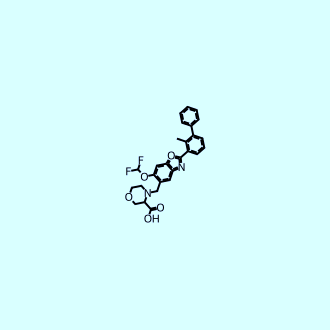 Cc1c(-c2ccccc2)cccc1-c1nc2cc(CN3CCOCC3C(=O)O)c(OC(F)F)cc2o1